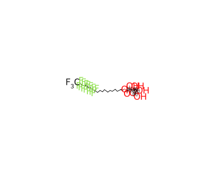 O=C(OC=CCCCCCCCCCC(F)(F)C(F)(F)C(F)(F)C(F)(F)C(F)(F)C(F)(F)C(F)(F)C(F)(F)F)[C@@H](O)[C@H]1O[C@@H](O)[C@H](O)[C@H]1O